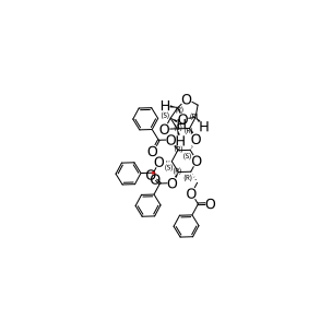 O=C(OC[C@H]1O[C@@H](O[C@H]2[C@@H]3O[C@@H]3[C@@H]3OC[C@H]2O3)[C@H](OC(=O)c2ccccc2)[C@@H](OC(=O)c2ccccc2)[C@@H]1OC(=O)c1ccccc1)c1ccccc1